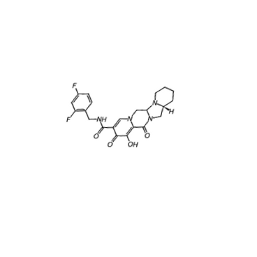 O=C(NCc1ccc(F)cc1F)c1cn2c(c(O)c1=O)C(=O)N1C[C@H]3CCCCN3C1C2